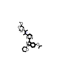 C=NN(CC(=O)OC)/C(C)=C(\C)c1ccnc(-c2nn(C3CCCCO3)c3ccc(OC(C)C)cc23)n1